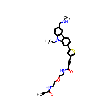 C#CC(=O)NCCOCCNC(=O)C#Cc1csc(-c2ccc3c4cc(CNC)ccc4n(CC)c3c2)c1